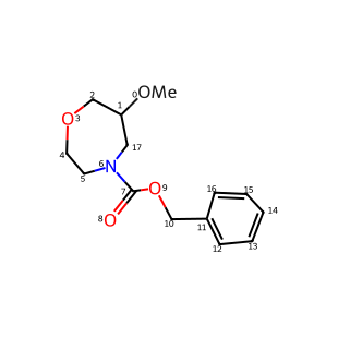 COC1COCCN(C(=O)OCc2ccccc2)C1